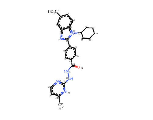 O=C(O)c1ccc2c(c1)nc(-c1ccc(C(=O)NNc3nccc(C(F)(F)F)n3)cc1)n2C1CCCCC1